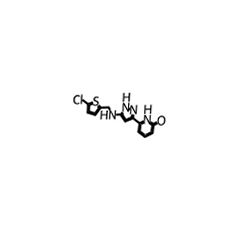 O=c1cccc(-c2cc(NCc3ccc(Cl)s3)[nH]n2)[nH]1